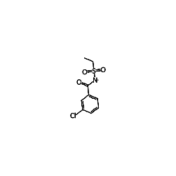 CCS(=O)(=O)[N]C(=O)c1cccc(Cl)c1